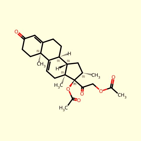 CC(=O)OCC(=O)[C@@]1(OC(C)=O)[C@@H](C)C[C@H]2[C@@H]3CCC4=CC(=O)CC[C@]4(C)C3=CC[C@@]21C